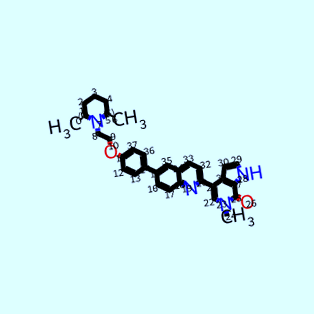 C[C@@H]1CCC[C@H](C)N1CCOc1ccc(-c2ccc3nc(-c4cn(C)c(=O)c5[nH]ccc45)ccc3c2)cc1